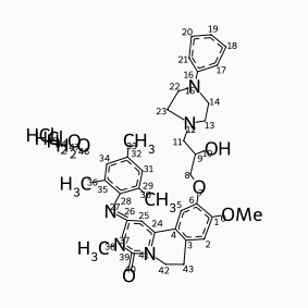 COc1cc2c(cc1OCC(O)CN1CCN(c3ccccc3)CC1)-c1cc(=Nc3c(C)cc(C)cc3C)n(C)c(=O)n1CC2.Cl.Cl.O.O